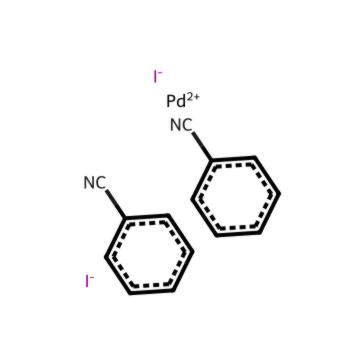 N#Cc1ccccc1.N#Cc1ccccc1.[I-].[I-].[Pd+2]